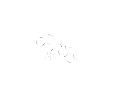 Cl.N=C(N)/C(=C\c1ccc(Cl)cc1)C(=O)N1CC=Cc2ccccc21